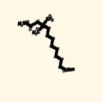 CCCCCCCCCCCCCCCCCC(C)(C)CO[SiH3]